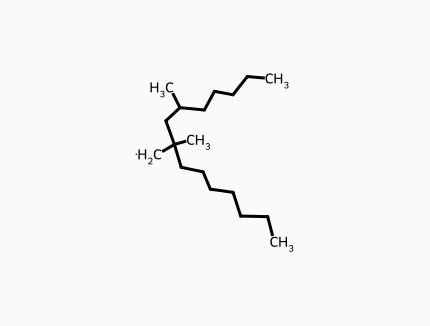 [CH2]C(C)(CCCCCCC)CC(C)CCCCC